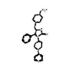 O=C(O)C1CCN(CC2OC(=O)N(C3CCN(c4ccncc4)CC3)C2c2ccccc2)CC1